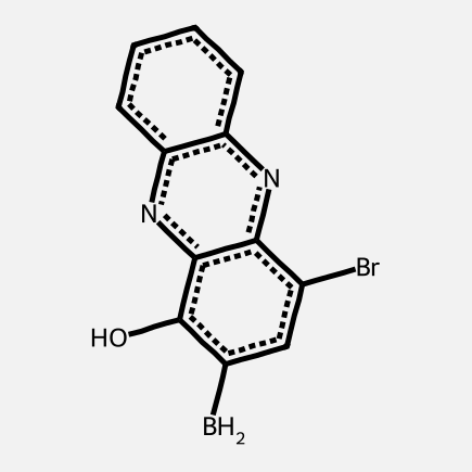 Bc1cc(Br)c2nc3ccccc3nc2c1O